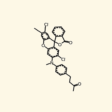 CC(=O)CCc1ccc(N(C)c2cc3c(cc2Cl)C2(OC(=O)c4ccccc42)c2cc(Cl)c(C)cc2O3)cc1